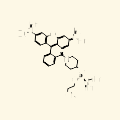 CCN(CC)c1ccc2c(-c3ccccc3C(=O)N3CCC(OP(OCCC#N)N(C(C)C)C(C)C)CC3)c3ccc(=[N+](CC)CC)cc-3oc2c1